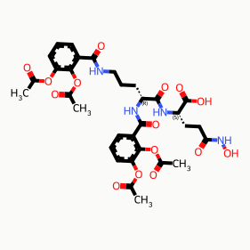 CC(=O)Oc1cccc(C(=O)NCCC[C@@H](NC(=O)c2cccc(OC(C)=O)c2OC(C)=O)C(=O)N[C@@H](CCC(=O)NO)C(=O)O)c1OC(C)=O